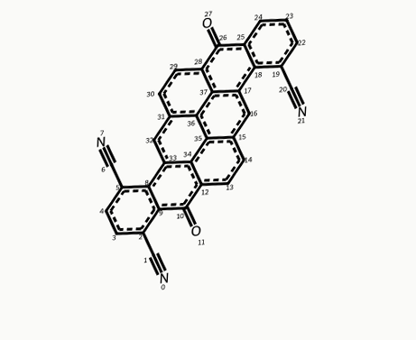 N#Cc1ccc(C#N)c2c1c(=O)c1ccc3cc4c5c(C#N)cccc5c(=O)c5ccc6cc2c1c3c6c54